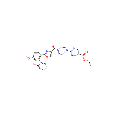 CCOC(=O)c1cnc(N2CCN(C(=O)c3coc(-c4ccc(OC)c5oc6ccccc6c45)n3)CC2)nc1